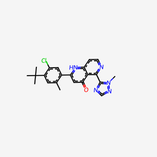 Cc1cc(C(C)(C)C)c(Cl)cc1-c1cc(=O)c2c(-c3ncnn3C)nccc2[nH]1